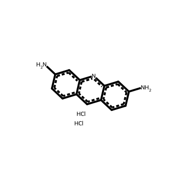 Cl.Cl.Nc1ccc2cc3ccc(N)cc3nc2c1